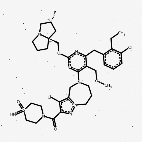 CCc1c(Cl)cccc1Cc1nc(OC[C@@]23CCCN2C[C@H](F)C3)nc(N2CCCn3nc(C(=O)N4CCS(=N)(=O)CC4)c(Cl)c3C2)c1COC